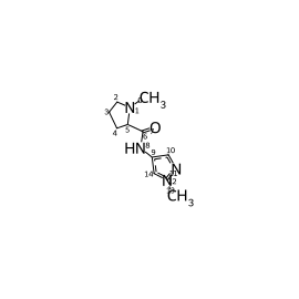 CN1CCCC1C(=O)Nc1cnn(C)c1